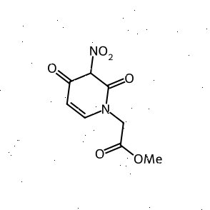 COC(=O)CN1C=CC(=O)C([N+](=O)[O-])C1=O